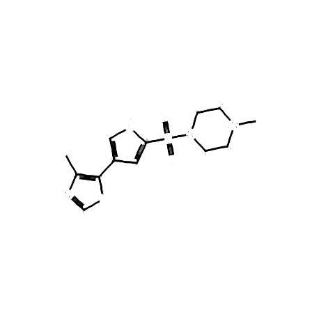 Cc1ncsc1-c1csc(S(=O)(=O)N2CCN(C)CC2)c1